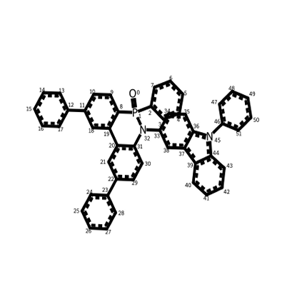 O=P1(c2ccccc2)c2ccc(-c3ccccc3)cc2-c2cc(-c3ccccc3)ccc2N1c1ccc2c(c1)c1ccccc1n2-c1ccccc1